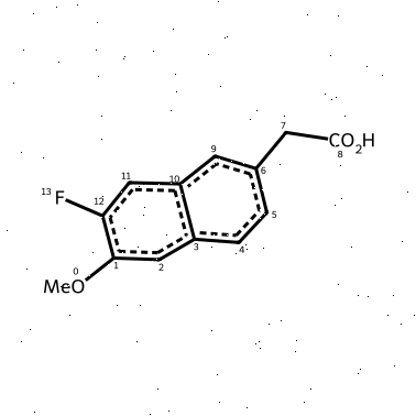 COc1cc2ccc(CC(=O)O)cc2cc1F